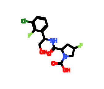 O=C(NC(CO)c1cccc(Cl)c1F)C1CC(F)CN1C(=O)O